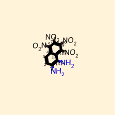 Nc1ccc2c([N+](=O)[O-])c([N+](=O)[O-])c([N+](=O)[O-])c([N+](=O)[O-])c2c1N